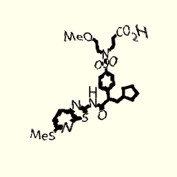 COCCN(CCC(=O)O)S(=O)(=O)c1ccc(C(CC2CCCC2)C(=O)Nc2nc3ccc(SC)nc3s2)cc1